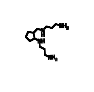 NCCCNCC1CCCC1NCCCN